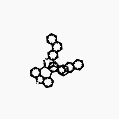 N/N=C(\N=C(/c1ccc2c(ccc3ccccc32)c1)C1C=CC=CC1)c1cccc2oc3cccc(-c4cccc5c4oc4cc6ccccc6cc45)c3c12